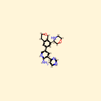 Nc1ncc(-c2cc3c(c([C@@H]4COCCN4)c2)COCC3)cc1-c1ccncn1